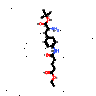 CCOC(=O)CCCC(=O)Nc1ccc(C[C@H](N)C(=O)OC(C)(C)C)cc1